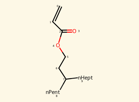 C=CC(=O)OCCC(CCCCC)CCCCCCC